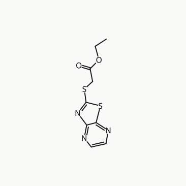 CCOC(=O)CSc1nc2nccnc2s1